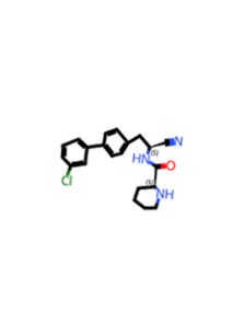 N#C[C@H](Cc1ccc(-c2cccc(Cl)c2)cc1)NC(=O)[C@@H]1CCCCN1